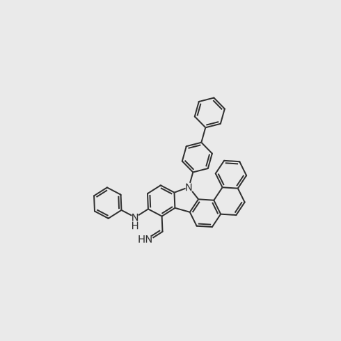 N=Cc1c(Nc2ccccc2)ccc2c1c1ccc3ccc4ccccc4c3c1n2-c1ccc(-c2ccccc2)cc1